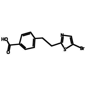 O=C(O)c1ccc(CCc2ncc(Br)s2)cc1